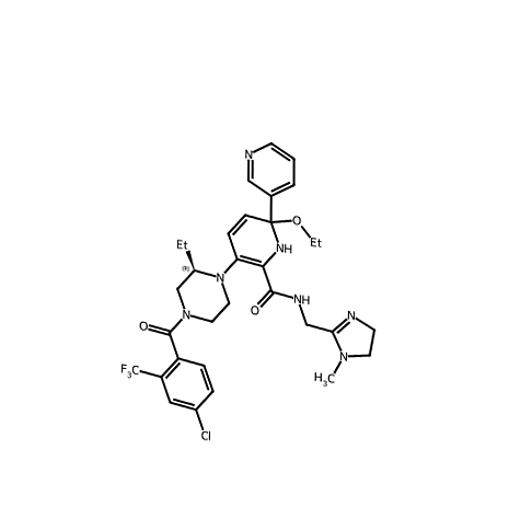 CCOC1(c2cccnc2)C=CC(N2CCN(C(=O)c3ccc(Cl)cc3C(F)(F)F)C[C@H]2CC)=C(C(=O)NCC2=NCCN2C)N1